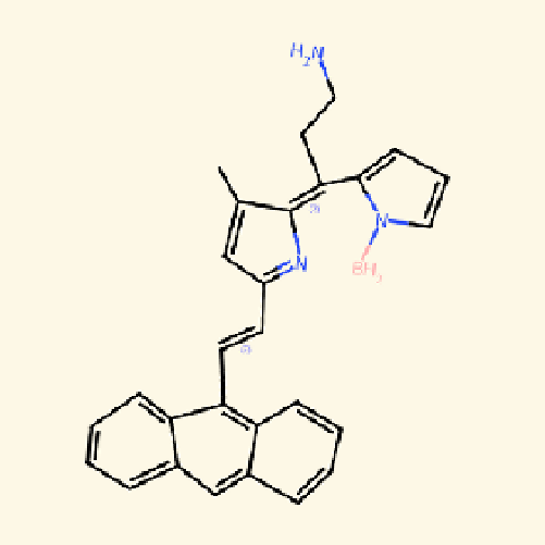 Bn1cccc1/C(CCN)=C1N=C(/C=C/c2c3ccccc3cc3ccccc23)C=C\1C